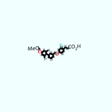 COCOc1cc(C)c(-c2cccc(COc3ccc(CCC(=O)O)c(F)c3)c2)c(C)c1